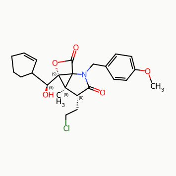 COc1ccc(CN2C(=O)[C@H](CCCl)[C@]3(C)C24C(=O)O[C@]43[C@@H](O)C2C=CCCC2)cc1